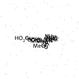 COC(=O)c1c(C)c2c(nc(N)n3nc(-c4ccccn4)nc23)n1CCN1CCN(c2ccc(OCC(=O)O)cc2)CC1